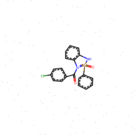 O=C(c1ccc(Cl)cc1)[N+]1=S(=O)(c2ccccc2)Nc2ccccc21